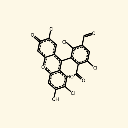 O=Cc1cc(Cl)c(C(=O)O)c(-c2c3cc(Cl)c(=O)cc-3oc3cc(O)c(Cl)cc23)c1Cl